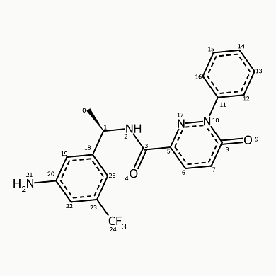 C[C@@H](NC(=O)c1ccc(=O)n(-c2ccccc2)n1)c1cc(N)cc(C(F)(F)F)c1